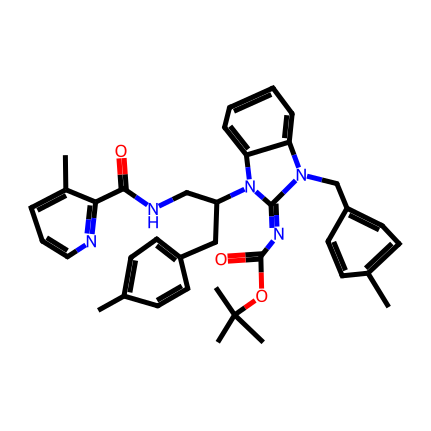 Cc1ccc(CC(CNC(=O)c2ncccc2C)n2c(=NC(=O)OC(C)(C)C)n(Cc3ccc(C)cc3)c3ccccc32)cc1